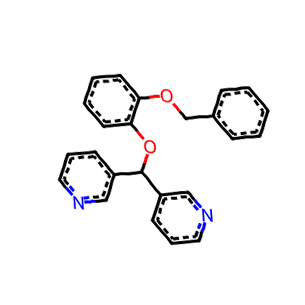 c1ccc(COc2ccccc2OC(c2cccnc2)c2cccnc2)cc1